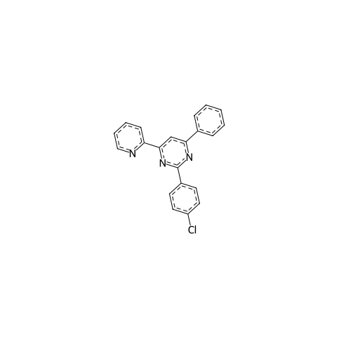 Clc1ccc(-c2nc(-c3ccccc3)cc(-c3ccccn3)n2)cc1